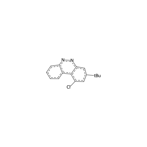 CC(C)(C)c1cc(Cl)c2c(c1)nnc1ccccc12